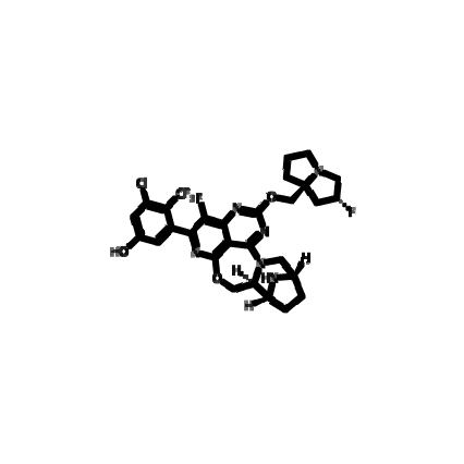 Oc1cc(Cl)c(C(F)(F)F)c(-c2nc3c4c(nc(OC[C@@]56CCCN5C[C@H](F)C6)nc4c2F)N2C[C@@H]4CC[C@@H](N4)[C@H]2CO3)c1